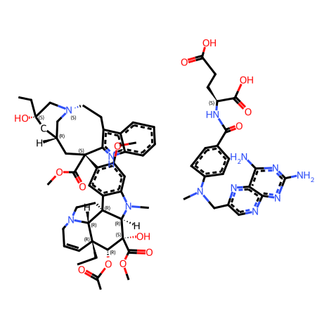 CC[C@]1(O)C[C@@H]2C[N@@](CCc3c([nH]c4ccccc34)[C@@](C(=O)OC)(c3cc4c(cc3OC)N(C)[C@H]3[C@@](O)(C(=O)OC)[C@H](OC(C)=O)[C@]5(CC)C=CCN6CC[C@]43[C@@H]65)C2)C1.CN(Cc1cnc2nc(N)nc(N)c2n1)c1ccc(C(=O)N[C@@H](CCC(=O)O)C(=O)O)cc1